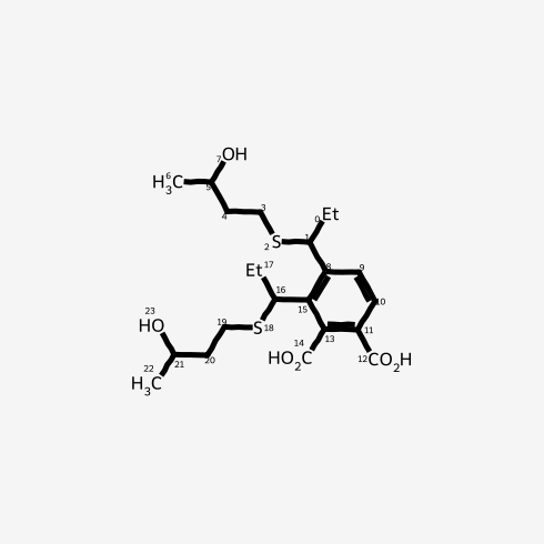 CCC(SCCC(C)O)c1ccc(C(=O)O)c(C(=O)O)c1C(CC)SCCC(C)O